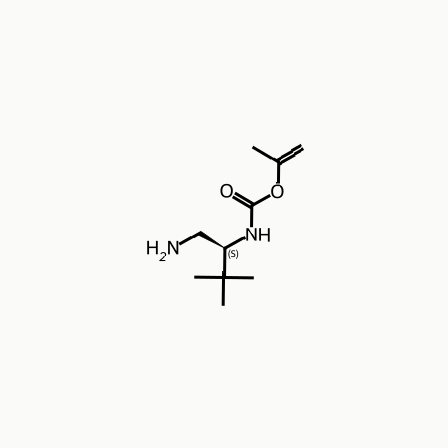 C=C(C)OC(=O)N[C@H](CN)C(C)(C)C